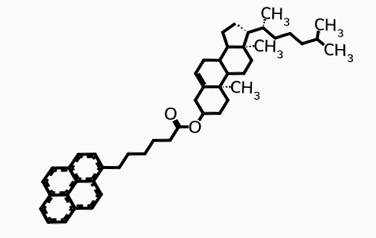 CC(C)CCC[C@@H](C)[C@H]1CCC2C3CC=C4CC(OC(=O)CCCCCc5ccc6ccc7cccc8ccc5c6c78)CC[C@]4(C)C3CC[C@@]21C